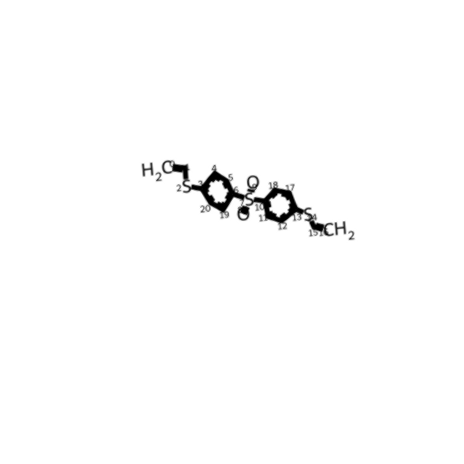 C=CSc1ccc(S(=O)(=O)c2ccc(SC=C)cc2)cc1